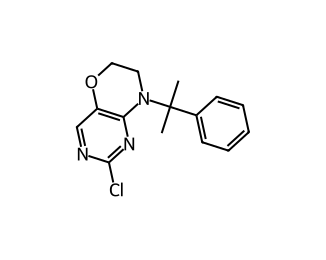 CC(C)(c1ccccc1)N1CCOc2cnc(Cl)nc21